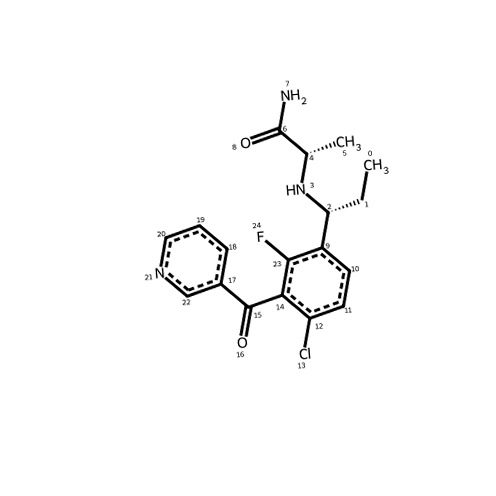 CC[C@@H](N[C@@H](C)C(N)=O)c1ccc(Cl)c(C(=O)c2cccnc2)c1F